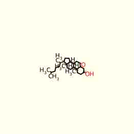 CC(C)CCCC(C)[C@H]1CC[C@H]2[C@@H]3CC4OC45C[C@@H](O)CC[C@]5(C)[C@H]3CC[C@]12C